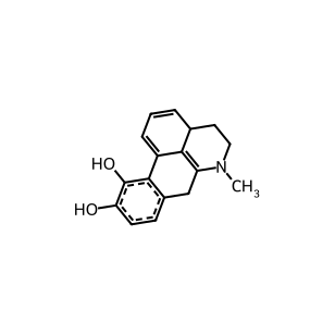 CN1CCC2C=CC=C3C2=C1Cc1ccc(O)c(O)c13